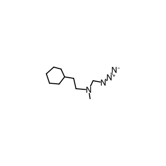 CN(CCC1CCCCC1)CN=[N+]=[N-]